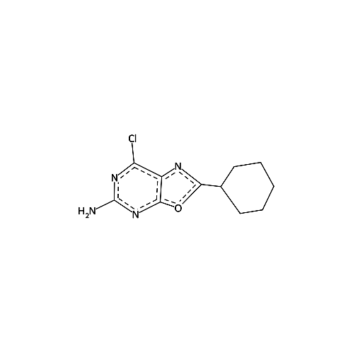 Nc1nc(Cl)c2nc(C3CCCCC3)oc2n1